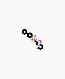 C[C@@H]1CCC[C@H](C)N1C[C@@H](O)CNS(=O)(=O)c1ccc(C2C=CC=CC2)cc1